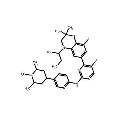 CCC(C)N1CC(C)(C)Oc2c(F)cc(-c3nc(Nc4ccc(C5CC(C)N(C)C(C)C5)cn4)ncc3F)cc21